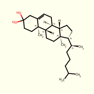 CC(C)CCC[C@H](C)[C@H]1CC[C@H]2[C@@H]3CC=C4CC(O)(O)CC[C@]4(C)[C@H]3CC[C@]12C